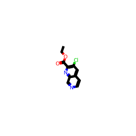 CCOC(=O)c1nc2cnccc2cc1Cl